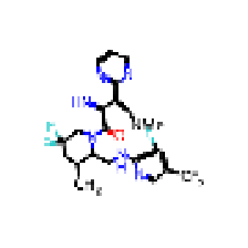 CN/C=C(\C(=N)C(=O)N1CC(F)(F)CC(C)C1CNc1ncc(C(F)(F)F)cc1F)c1ncccn1